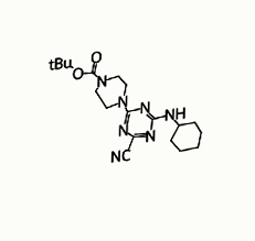 CC(C)(C)OC(=O)N1CCN(c2nc(C#N)nc(NC3CCCCC3)n2)CC1